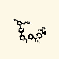 CC(c1cccc(Nc2cc(-c3cnc(N4CC(O)CC4CCN)nc3)ccn2)c1)N1CCN(C2(C(=O)O)CC2)CC1